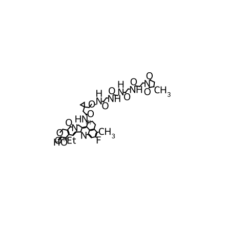 CC[C@@]1(O)C(=O)OCc2c1cc1n(c2=O)Cc2c-1nc1cc(F)c(C)c3c1c2[C@@H](NC(=O)CC1(COCNC(=O)CNC(=O)CNC(=O)CNC(=O)CCN2C(=O)CC(C)C2=O)CC1)CC3